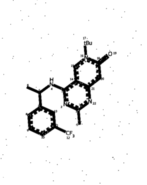 Cc1nc(NC(C)c2cccc(C(F)(F)F)c2)c2cn(C(C)(C)C)c(=O)cc2n1